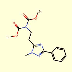 Cn1nc(-c2ccccc2)nc1CCN(C(=O)OC(C)(C)C)C(=O)OC(C)(C)C